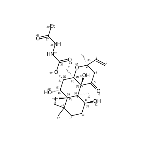 C=C[C@@]1(C)CC(=O)[C@]2(O)[C@@]3(C)[C@@H](O)CCC(C)(C)[C@@H]3[C@H](O)[C@H](OC(=O)NNC(=O)CC)[C@@]2(C)O1